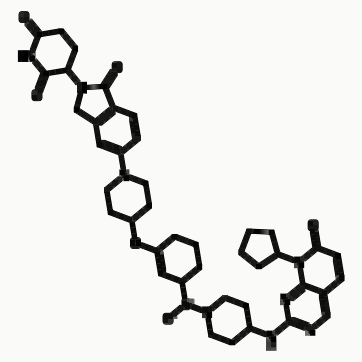 O=C1CCC(N2Cc3cc(N4CCC(OC5=CC([S+]([O-])N6CCC(Nc7ncc8ccc(=O)n(C9CCCC9)c8n7)CC6)CCC5)CC4)ccc3C2=O)C(=O)N1